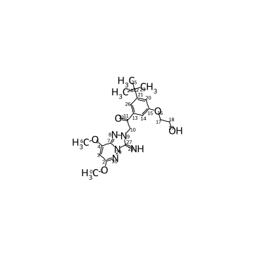 COc1cc(OC)c2nn(CC(=O)c3cc(OCCO)cc(C(C)(C)C)c3)c(=N)n2n1